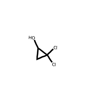 OC1CC1(Cl)Cl